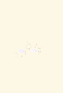 CCCC(NC(=O)c1cc(C)cc(C(=O)NC(CC)(CCC)C(=O)O)c1)C(=O)O